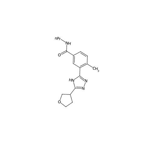 CCCNC(=O)c1ccc(C)c(-c2nnc(C3CCOC3)[nH]2)c1